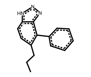 CCCc1ccc2[nH]nnc2c1-c1ccccc1